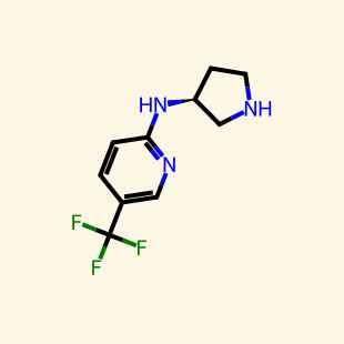 FC(F)(F)c1ccc(N[C@H]2CCNC2)nc1